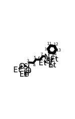 CCO[SiH](CCCCCN(c1ccccc1)[Si](CC)(CC)CC)OCC